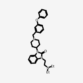 CCN(CC)CCn1c(=O)n(C2CCN(Cc3cccc(Oc4ccccc4)c3)CC2)c2ccccc21